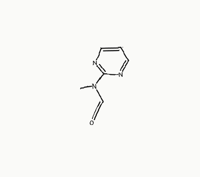 CN(C=O)c1nc[c]cn1